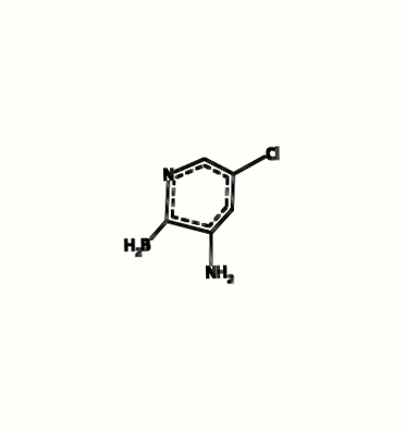 Bc1ncc(Cl)cc1N